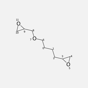 C(CCC1CO1)COCC1CO1